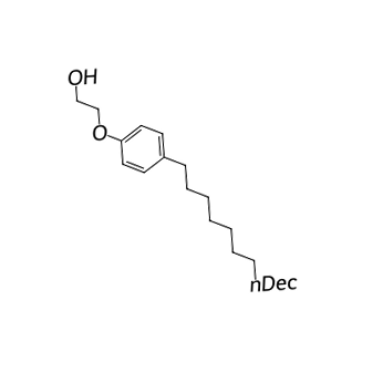 CCCCCCCCCCCCCCCCCc1ccc(OCCO)cc1